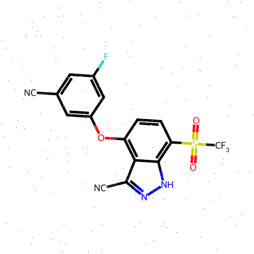 N#Cc1cc(F)cc(Oc2ccc(S(=O)(=O)C(F)(F)F)c3[nH]nc(C#N)c23)c1